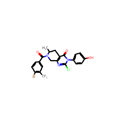 CC1Cc2c(nc(Cl)n(-c3ccc(O)cc3)c2=O)CN1C(=O)c1ccc(Br)c(C(F)(F)F)c1